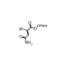 CCCCCCOC(=O)C(=CC(N)=O)C(C)C